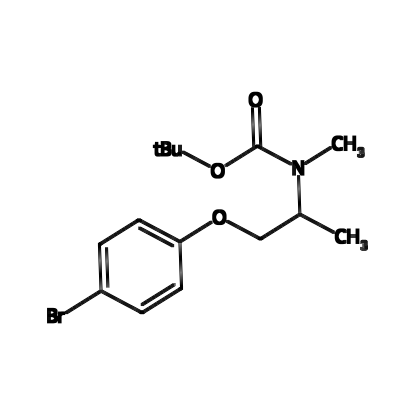 CC(COc1ccc(Br)cc1)N(C)C(=O)OC(C)(C)C